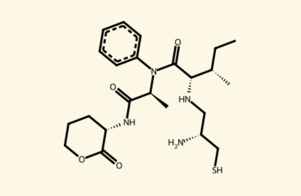 CC[C@H](C)[C@H](NC[C@@H](N)CS)C(=O)N(c1ccccc1)[C@@H](C)C(=O)N[C@H]1CCCOC1=O